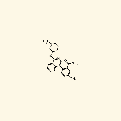 Cc1ccc(-c2nnc(NC3CCCN(C)C3)c3ccccc23)c(C(N)=O)c1